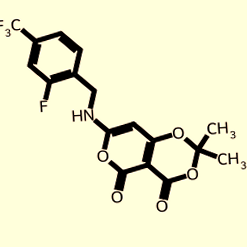 CC1(C)OC(=O)c2c(cc(NCc3ccc(C(F)(F)F)cc3F)oc2=O)O1